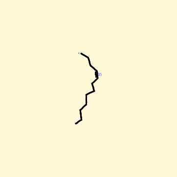 [CH2]CC/C=C\CCCCCCC